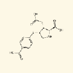 O=C(O)C[C@H]1[C@@H](Sc2ccc(C(=O)O)cc2)CN[C@@H]1C(=O)O